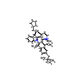 Cc1c2cc(CC(C)(C)C)ccc2c(C)c2c1c1c3c(cc[n+]1C)cc(CC1CCCC1)c1c4ccccc4n2c13